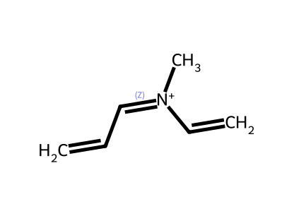 C=C/C=[N+](/C)C=C